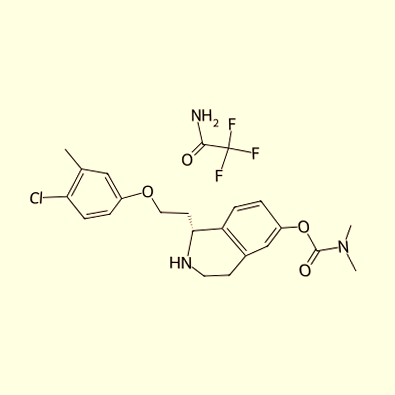 Cc1cc(OCC[C@H]2NCCc3cc(OC(=O)N(C)C)ccc32)ccc1Cl.NC(=O)C(F)(F)F